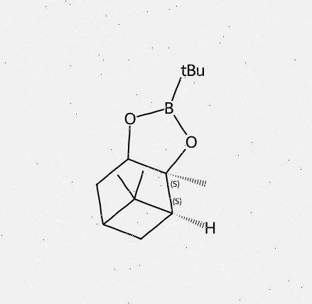 CC(C)(C)B1OC2CC3C[C@@H](C3(C)C)[C@]2(C)O1